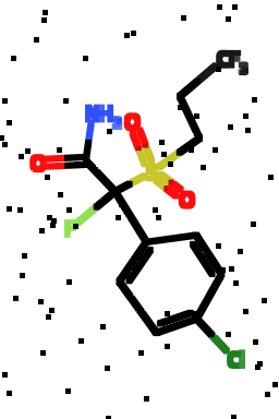 NC(=O)C(F)(c1ccc(Cl)cc1)S(=O)(=O)CCC(F)(F)F